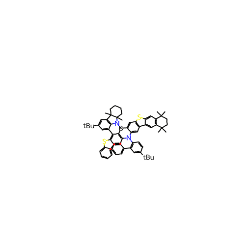 CC(C)(C)c1ccc(N2c3cc4c(cc3B3c5c2cc2c(sc6ccccc62)c5-c2cc(C(C)(C)C)cc5c2N3C2(C)CCCCC52C)sc2cc3c(cc24)C(C)(C)CCC3(C)C)c(-c2ccccc2)c1